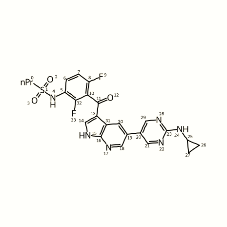 CCCS(=O)(=O)Nc1ccc(F)c(C(=O)c2c[nH]c3ncc(-c4cnc(NC5CC5)nc4)cc23)c1F